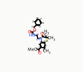 COC(=O)c1cc2c(cc1C)SC(C)(C)C(=O)N2CCNC(=O)OCc1ccccc1